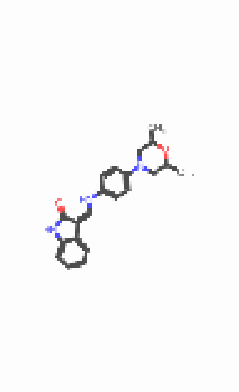 CC1CN(c2ccc(NC=C3C(=O)Nc4ccccc43)cc2)CC(C)O1